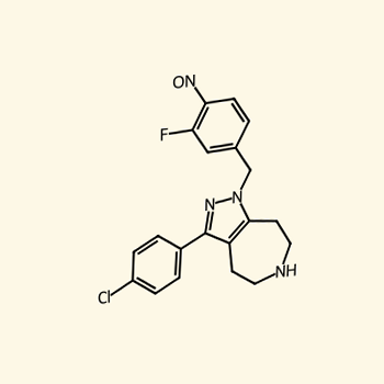 O=Nc1ccc(Cn2nc(-c3ccc(Cl)cc3)c3c2CCNCC3)cc1F